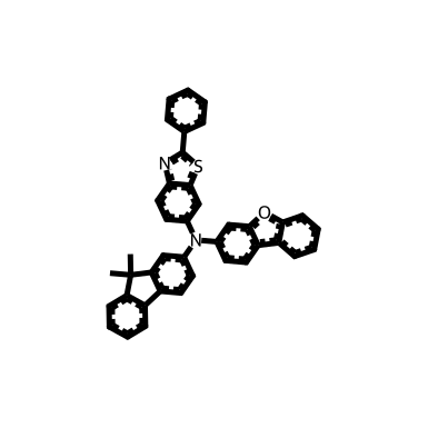 CC1(C)c2ccccc2-c2ccc(N(c3ccc4c(c3)oc3ccccc34)c3ccc4nc(-c5ccccc5)sc4c3)cc21